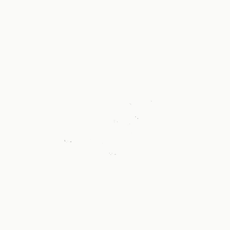 COC(=O)c1cc(Br)c(NC(=O)N2C=CC(=O)C[C@H]2c2cccc(F)c2)cc1OC